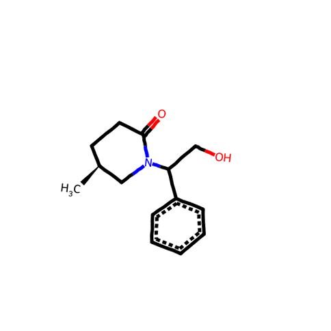 C[C@H]1CCC(=O)N(C(CO)c2ccccc2)C1